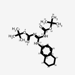 CC(C)(C)OC(=O)/N=C(/NC(=O)OC(C)(C)C)Nc1ccc2c(c1)CCCC2